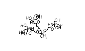 CC(COCCC(=O)NC(CO)(CO)CO)(COCCC(=O)NC(CO)(CO)CO)COCCC(=O)NC(CO)(CO)CO